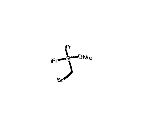 CO[Si](CBr)(C(C)C)C(C)C